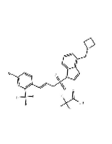 O=C(O)C(F)(F)F.O=S(=O)(CC=Cc1ccc(Br)cc1C(F)(F)F)n1ccc2c(CN3CCC3)cccc21